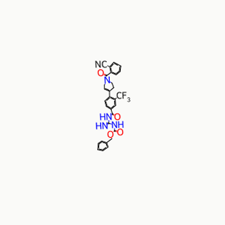 N#Cc1ccccc1C(=O)N1CC=C(c2ccc(C(=O)NC(=N)NC(=O)OCc3ccccc3)cc2C(F)(F)F)CC1